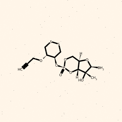 B[C@@H]1O[C@@H]2CO[P@](=O)(O[C@@H]3CSSC[C@H]3OCC#C)O[C@H]2[C@@]1(C)O